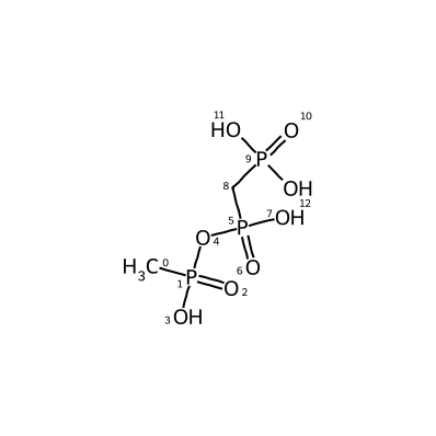 CP(=O)(O)OP(=O)(O)CP(=O)(O)O